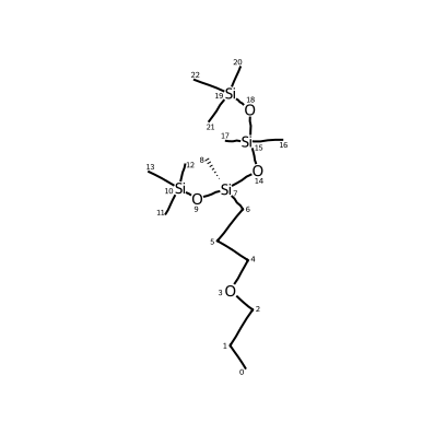 CCCOCCC[Si@@](C)(O[Si](C)(C)C)O[Si](C)(C)O[Si](C)(C)C